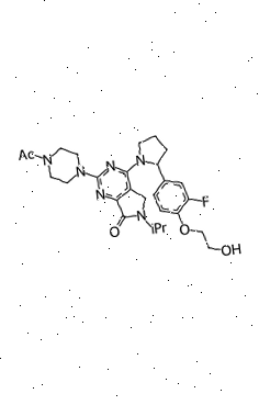 CC(=O)N1CCN(c2nc3c(c(N4CCCC4c4ccc(OCCO)c(F)c4)n2)CN(C(C)C)C3=O)CC1